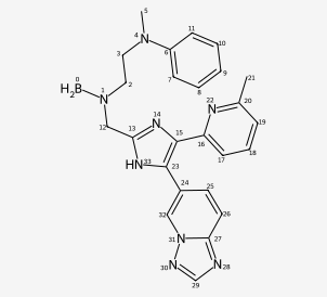 BN(CCN(C)c1ccccc1)Cc1nc(-c2cccc(C)n2)c(-c2ccc3ncnn3c2)[nH]1